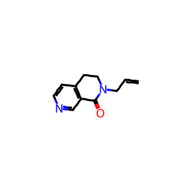 C=CCN1CCc2ccncc2C1=O